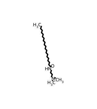 CCCCCCCCCCCCCCCCCCCCCC(=O)NCCCCN(CC)CC